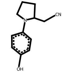 N#CCC1CCCN1c1ccc(O)cc1